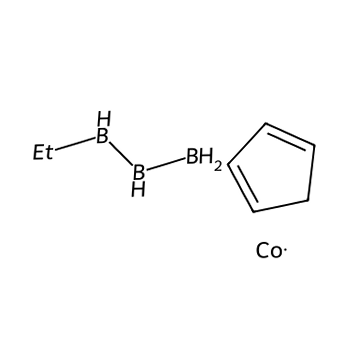 BBBCC.C1=CCC=C1.[Co]